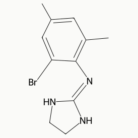 Cc1cc(C)c(N=C2NCCN2)c(Br)c1